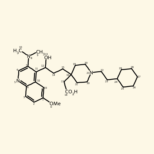 COc1ccc2ncc(N(C)C)c(C(O)CCC3(CC(=O)O)CCN(CCC4CCCCC4)CC3)c2c1